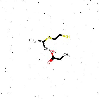 CC(SCCS)C(=O)O.CCC(=O)O